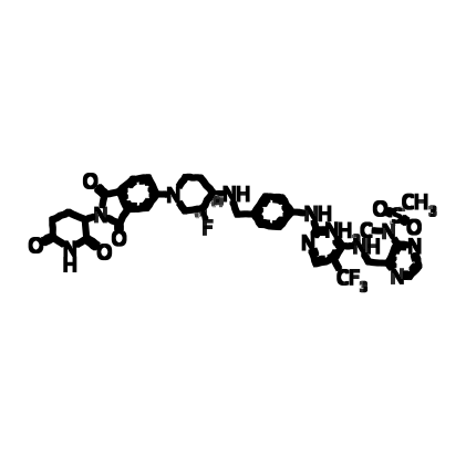 CN(c1nccnc1CNc1nc(Nc2ccc(CN[C@@H]3CCN(c4ccc5c(c4)C(=O)N(C4CCC(=O)NC4=O)C5=O)C[C@@H]3F)cc2)ncc1C(F)(F)F)S(C)(=O)=O